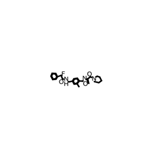 Cc1cc(CNC(=O)C(F)c2ccccc2)ccc1-c1nc(C(=O)N2CCCCC2)co1